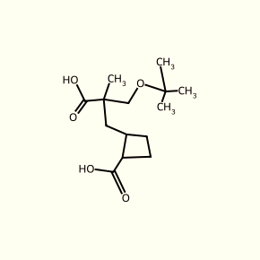 CC(C)(C)OCC(C)(CC1CCC1C(=O)O)C(=O)O